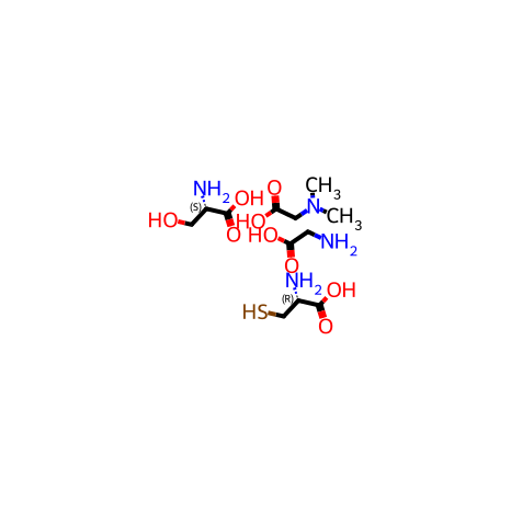 CN(C)CC(=O)O.NCC(=O)O.N[C@@H](CO)C(=O)O.N[C@@H](CS)C(=O)O